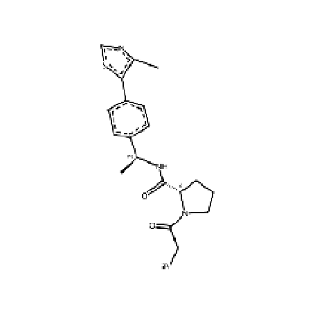 Cc1ncsc1-c1ccc([C@H](C)NC(=O)[C@@H]2CCCN2C(=O)CC(C)C)cc1